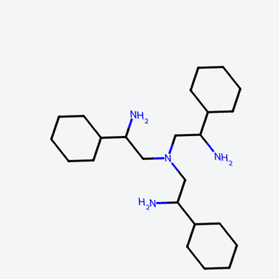 NC(CN(CC(N)C1CCCCC1)CC(N)C1CCCCC1)C1CCCCC1